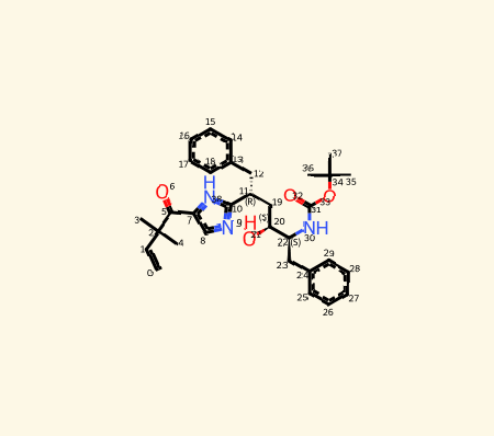 C=CC(C)(C)C(=O)c1cnc([C@H](Cc2ccccc2)C[C@H](O)[C@H](Cc2ccccc2)NC(=O)OC(C)(C)C)[nH]1